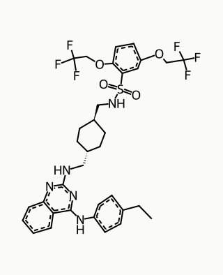 CCc1ccc(Nc2nc(NC[C@H]3CC[C@H](CNS(=O)(=O)c4cc(OCC(F)(F)F)ccc4OCC(F)(F)F)CC3)nc3ccccc23)cc1